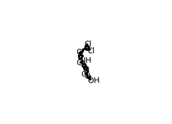 O=C(N[C@@H]1CCN(C(=O)CCc2cc(Cl)cc(Cl)c2)C1)C1CC2CN(CC(=O)N3CC(O)C3)CC2C1